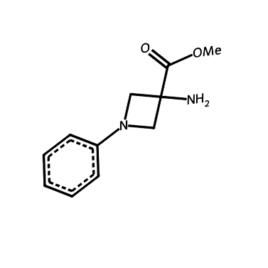 COC(=O)C1(N)CN(c2ccccc2)C1